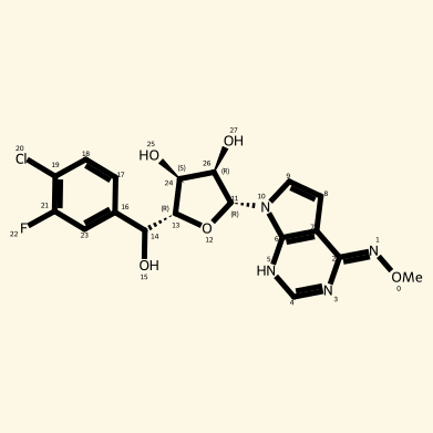 CON=c1nc[nH]c2c1ccn2[C@@H]1O[C@H](C(O)c2ccc(Cl)c(F)c2)[C@@H](O)[C@H]1O